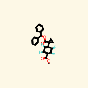 COC(=O)c1c(F)c(F)c(C2(C(=O)OC(c3ccccc3)c3ccccc3)CC2)c(F)c1F